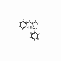 OCC(Cc1ccccc1)NCc1ccccc1